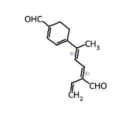 C=C/C(C=O)=C\C=C(/C)C1=CC=C(C=O)CC1